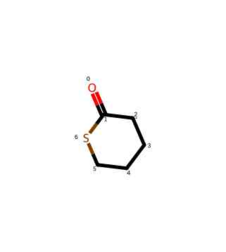 O=C1[CH]CCCS1